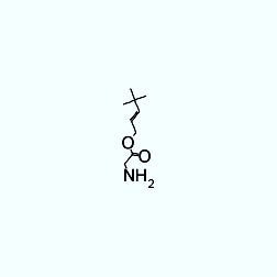 CC(C)(C)C=CCOC(=O)CN